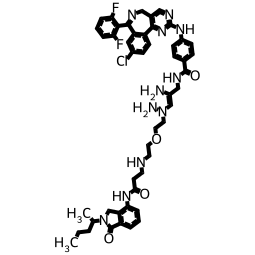 CCCC(C)N1Cc2c(NC(=O)CCNCCOCCN(N)/C=C(\N)CNC(=O)c3ccc(Nc4ncc5c(n4)-c4ccc(Cl)cc4C(c4c(F)cccc4F)=NC5)cc3)cccc2C1=O